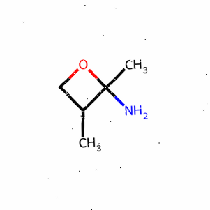 CC1COC1(C)N